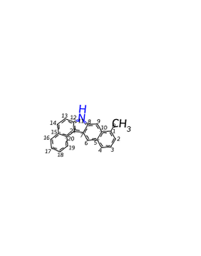 Cc1cccc2cc3c(cc12)[nH]c1ccc2ccccc2c13